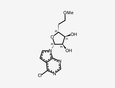 COCC[C@H]1O[C@@H](n2ccc3c(Cl)ncnc32)[C@H](O)[C@@H]1O